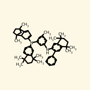 Cc1cc(Nc2cc3c(cc2-c2ccccc2)C(C)(C)CCC3(C)C)cc(N(C2=CC=C3C(C2)C2(C)CCC3(C)C2)c2ccc3c(c2)C(C)(C)CCC3(C)C)c1